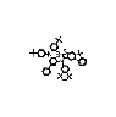 CC(C)(C)c1ccc(N2c3ccc(C(C)(C)C)cc3B3c4sc5cc6c(cc5c4N(c4ccc5c(c4)C(C)(C)CCC5(C)C)c4cc(-c5ccccc5)cc2c43)-c2ccccc2C6(C)C)cc1